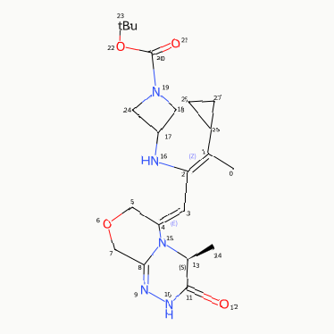 C/C(=C(\C=C1/COCC2=NNC(=O)[C@H](C)N21)NC1CN(C(=O)OC(C)(C)C)C1)C1CC1